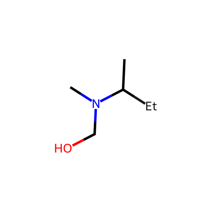 CCC(C)N(C)CO